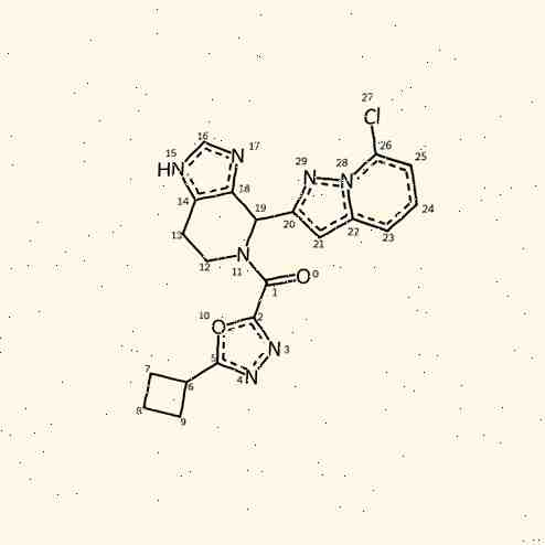 O=C(c1nnc(C2CCC2)o1)N1CCc2[nH]cnc2C1c1cc2cccc(Cl)n2n1